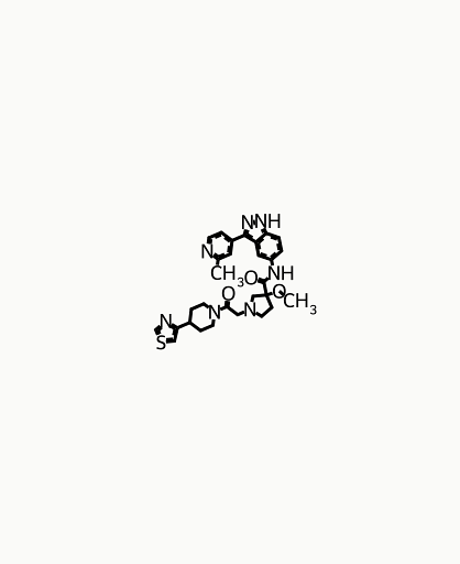 COC1(C(=O)Nc2ccc3[nH]nc(-c4ccnc(C)c4)c3c2)CCN(CC(=O)N2CCC(c3cscn3)CC2)C1